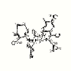 CN(C(=O)c1cc(Cl)ccc1NC(=O)C1CC(Br)=NN1c1ncccc1Cl)C1CC1